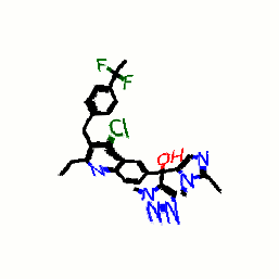 CCc1nc2ccc(C(O)(c3cnnn3C)c3cnc(C)n3C)cc2c(Cl)c1Cc1ccc(C(C)(F)F)cc1